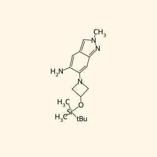 Cn1cc2cc(N)c(N3CC(O[Si](C)(C)C(C)(C)C)C3)cc2n1